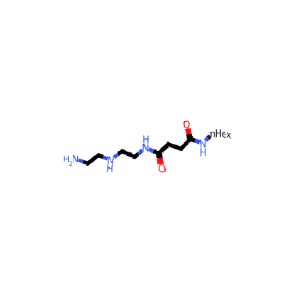 CCCCCCNC(=O)CCC(=O)NCCNCCN